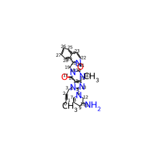 CC#CCn1c(N2CCCC(N)C2)nc2c1c(=O)n(Cc1nccc3ccccc13)c(=O)n2C